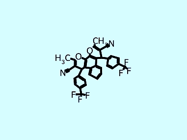 CC1=C(C#N)C(c2ccc(C(F)(F)F)cc2)c2c(c3c(c4ccccc24)C(c2ccc(C(F)(F)F)cc2)C(C#N)=C(C)O3)O1